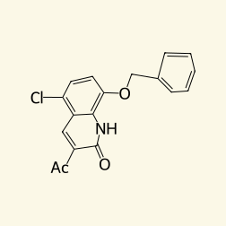 CC(=O)c1cc2c(Cl)ccc(OCc3ccccc3)c2[nH]c1=O